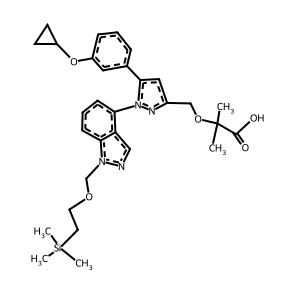 CC(C)(OCc1cc(-c2cccc(OC3CC3)c2)n(-c2cccc3c2cnn3COCC[Si](C)(C)C)n1)C(=O)O